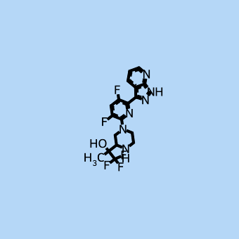 CC(O)(C1CN(c2nc(-c3n[nH]c4ncccc34)c(F)cc2F)CCN1)C(F)(F)F